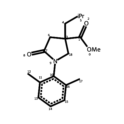 COC(=O)C1(CC(C)C)CC(=O)N(c2c(C)cccc2C)C1